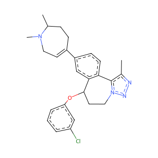 Cc1nnn2c1-c1ccc(C3=CCN(C)C(C)CC3)cc1C(Oc1cccc(Cl)c1)CC2